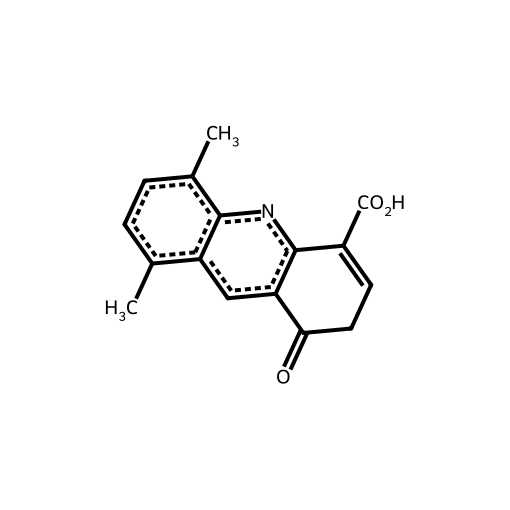 Cc1ccc(C)c2nc3c(cc12)C(=O)CC=C3C(=O)O